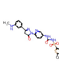 CNc1cccc(C2=NN(c3ccc(NC(=O)NS(=O)(=O)c4ccc(C)s4)cn3)C(=O)C2)c1